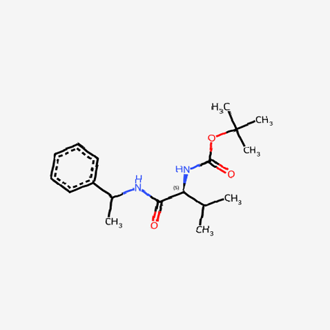 CC(NC(=O)[C@@H](NC(=O)OC(C)(C)C)C(C)C)c1ccccc1